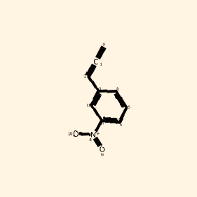 C=C=Cc1cccc([N+](=O)[O-])c1